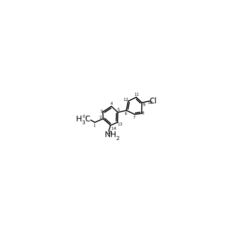 CCc1ccc(-c2ccc(Cl)cc2)cc1N